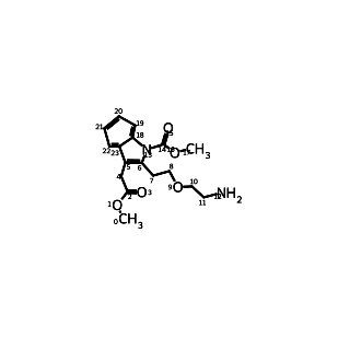 COC(=O)Cc1c(CCOCCN)n(C(=O)OC)c2ccccc12